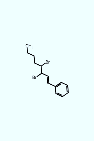 CCCCC(Br)C(Br)C=Cc1ccccc1